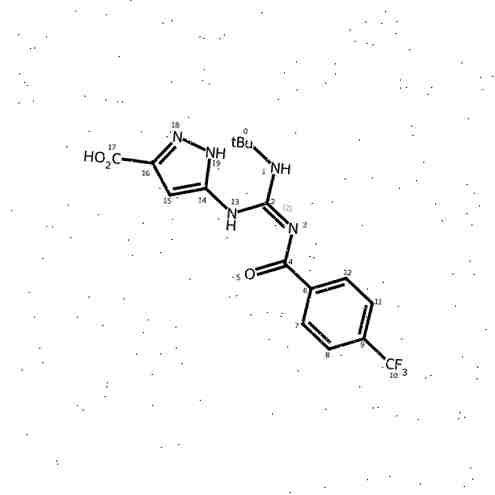 CC(C)(C)N/C(=N/C(=O)c1ccc(C(F)(F)F)cc1)Nc1cc(C(=O)O)n[nH]1